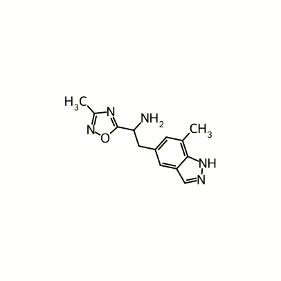 Cc1noc(C(N)Cc2cc(C)c3[nH]ncc3c2)n1